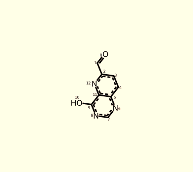 O=Cc1ccc2ncnc(O)c2n1